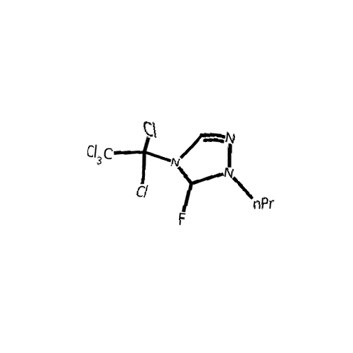 CCCN1N=CN(C(Cl)(Cl)C(Cl)(Cl)Cl)C1F